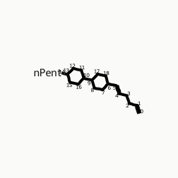 C=CCC/C=C/C1CCC(C2CCC(CCCCC)CC2)CC1